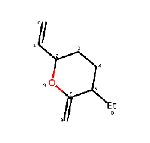 C=CC1CCC(CC)C(=C)O1